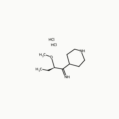 CC[C@@H](OC)C(=N)C1CCNCC1.Cl.Cl